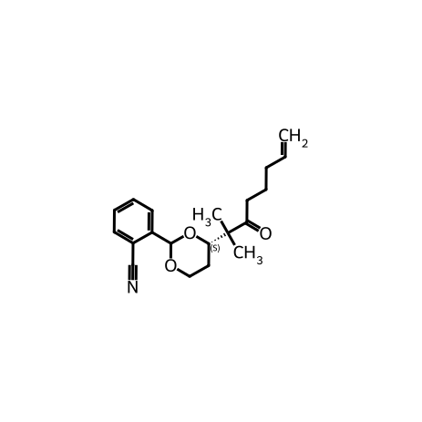 C=CCCCC(=O)C(C)(C)[C@@H]1CCOC(c2ccccc2C#N)O1